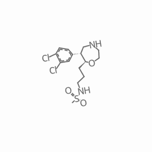 CS(=O)(=O)NCCC[C@@H]1OCCNC[C@H]1c1ccc(Cl)c(Cl)c1